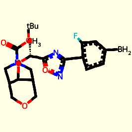 Bc1ccc(-c2noc([C@@H](C)OC3C4COCC3CN(C(=O)OC(C)(C)C)C4)n2)c(F)c1